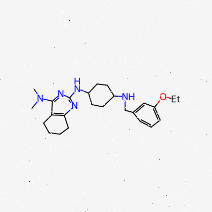 CCOc1cccc(CNC2CCC(Nc3nc4c(c(N(C)C)n3)CCCC4)CC2)c1